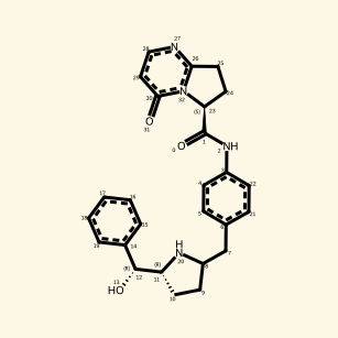 O=C(Nc1ccc(CC2CC[C@H]([C@H](O)c3ccccc3)N2)cc1)[C@@H]1CCc2nccc(=O)n21